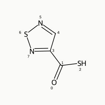 O=C(S)c1cnsn1